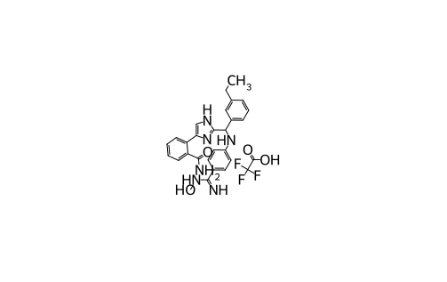 CCc1cccc(C(Nc2ccc(C(=N)NO)cc2)c2nc(-c3ccccc3C(N)=O)c[nH]2)c1.O=C(O)C(F)(F)F